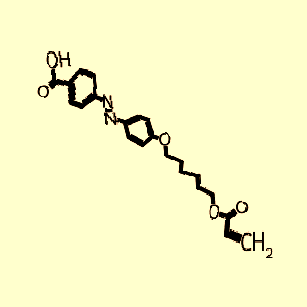 C=CC(=O)OCCCCCCOc1ccc(/N=N/c2ccc(C(=O)O)cc2)cc1